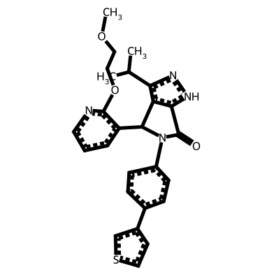 COCCOc1ncccc1C1c2c(C(C)C)n[nH]c2C(=O)N1c1ccc(-c2ccsc2)cc1